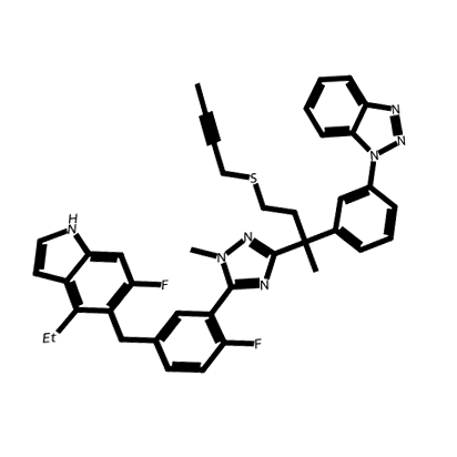 CC#CCSCCC(C)(c1cccc(-n2nnc3ccccc32)c1)c1nc(-c2cc(Cc3c(F)cc4[nH]ccc4c3CC)ccc2F)n(C)n1